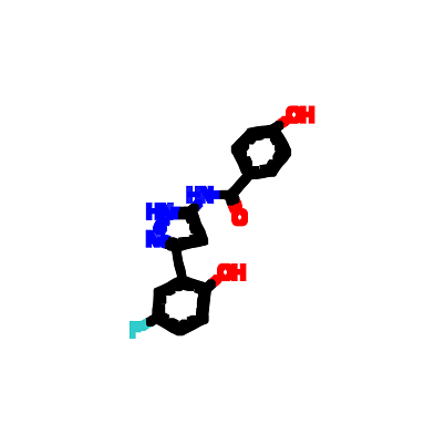 O=C(Nc1cc(-c2cc(F)ccc2O)n[nH]1)c1ccc(O)cc1